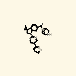 O=C(c1ccc2c(c1)N(c1ncc(-c3cccnn3)cn1)CC21CC1)N1CC2CC1CN2